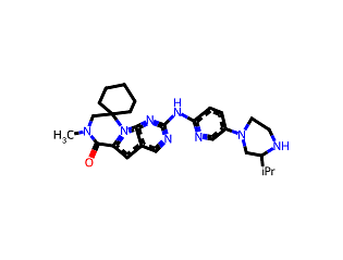 CC(C)C1CN(c2ccc(Nc3ncc4cc5n(c4n3)C3(CCCCC3)CN(C)C5=O)nc2)CCN1